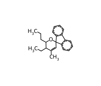 CCCC1OC2(C=C(C)C1CC)c1ccccc1-c1ccccc12